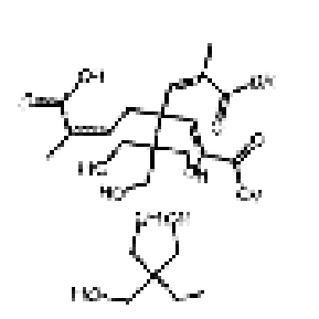 CC(=CCC(C=C(C)C(=O)O)(C=C(C)C(=O)O)C(CO)(CO)CO)C(=O)O.CCC(CO)(CO)CO